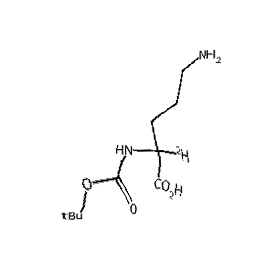 [2H]C(CCCN)(NC(=O)OC(C)(C)C)C(=O)O